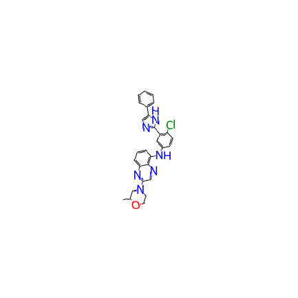 CC1CN(c2cnc3c(Nc4ccc(Cl)c(-c5ncc(-c6ccccc6)[nH]5)c4)cccc3n2)CCO1